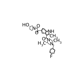 Cc1[nH]c2ccc(C(=O)C(=O)N3CC[C@H](O)C3)cc2c1C(=O)N1C[C@H](C)N(Cc2ccc(F)cc2)C[C@H]1C